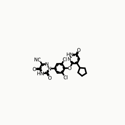 N#Cc1nn(-c2cc(Cl)c(Oc3n[nH]c(=O)cc3C3CCCC3)c(Cl)c2)c(=O)[nH]c1=O